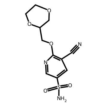 N#Cc1cc(S(N)(=O)=O)cnc1OCC1COCCO1